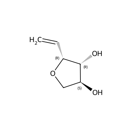 C=C[C@H]1OC[C@H](O)[C@H]1O